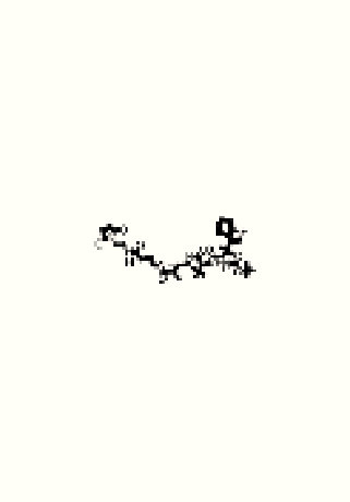 C/C(=C\CN(C)C(=O)C(NC(=O)[C@@H](N(C)C(=O)OC(C)(C)C)C(C)(C)c1cn(C)c2ccccc12)C(C)(C)C)C(=O)NCCCC(=O)NCCN1C(=O)C=CC1=O